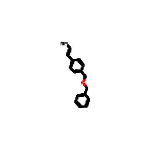 O=CC=Cc1ccc(COCc2ccccc2)cc1